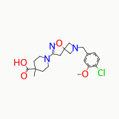 COc1cc(CN2CC3(CC(N4CCC(C)(C(=O)O)CC4)=NO3)C2)ccc1Cl